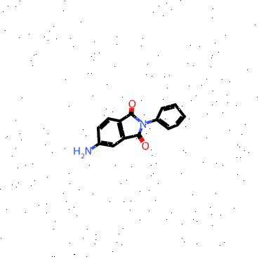 Nc1ccc2c(c1)C(=O)N(c1ccccc1)C2=O